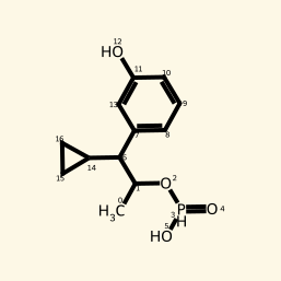 CC(O[PH](=O)O)C(c1cccc(O)c1)C1CC1